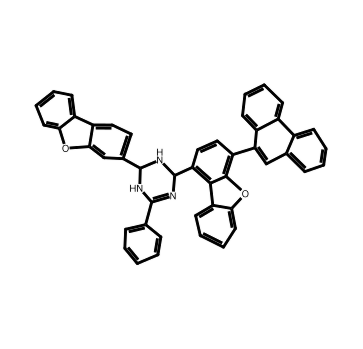 c1ccc(C2=NC(c3ccc(-c4cc5ccccc5c5ccccc45)c4oc5ccccc5c34)NC(c3ccc4c(c3)oc3ccccc34)N2)cc1